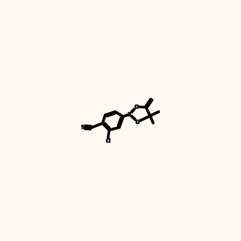 C=C1OB(c2ccc(C#N)c(Cl)c2)OC1(C)C